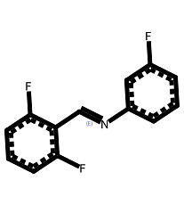 Fc1cccc(/N=C/c2c(F)cccc2F)c1